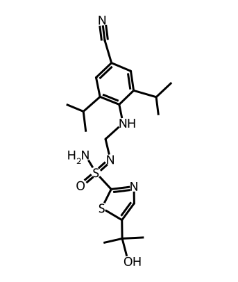 CC(C)c1cc(C#N)cc(C(C)C)c1NCN=S(N)(=O)c1ncc(C(C)(C)O)s1